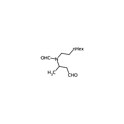 CCCCCCCCN([C]=O)C(C)CC=O